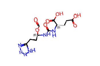 O=CO[C@H](CCc1nnn[nH]1)NC(=O)N[C@@H](CCC(=O)O)C(=O)O